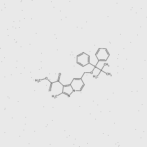 COC(=O)C(=O)c1c(C)nn2ccc(CO[Si](c3ccccc3)(c3ccccc3)C(C)(C)C)cc12